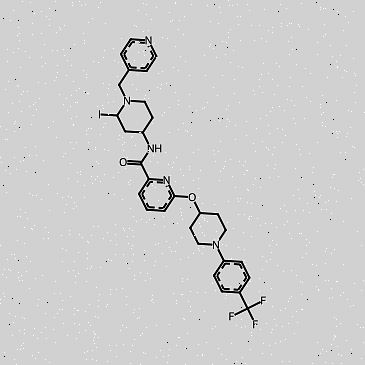 O=C(NC1CCN(Cc2ccncc2)C(I)C1)c1cccc(OC2CCN(c3ccc(C(F)(F)F)cc3)CC2)n1